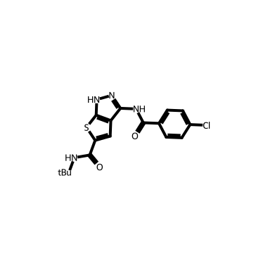 CC(C)(C)NC(=O)c1cc2c(NC(=O)c3ccc(Cl)cc3)n[nH]c2s1